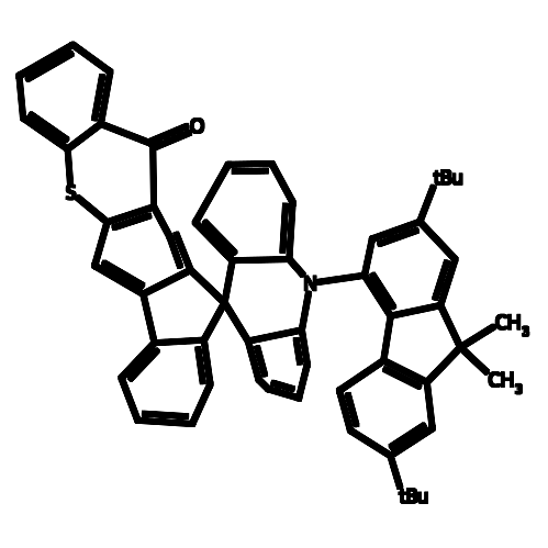 CC(C)(C)c1ccc2c(c1)C(C)(C)c1cc(C(C)(C)C)cc(N3c4ccccc4C4(c5ccccc5-c5cc6sc7ccccc7c(=O)c6cc54)c4ccccc43)c1-2